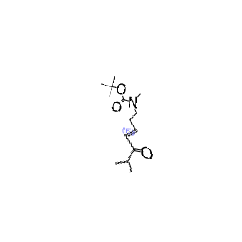 CC(C)C(=O)/C=C/CCN(C)C(=O)OC(C)(C)C